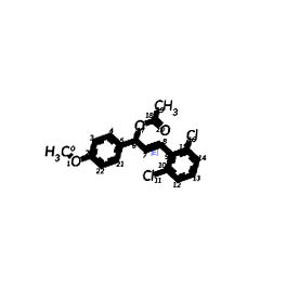 COc1ccc(C(/C=C/c2c(Cl)cccc2Cl)OC(C)=O)cc1